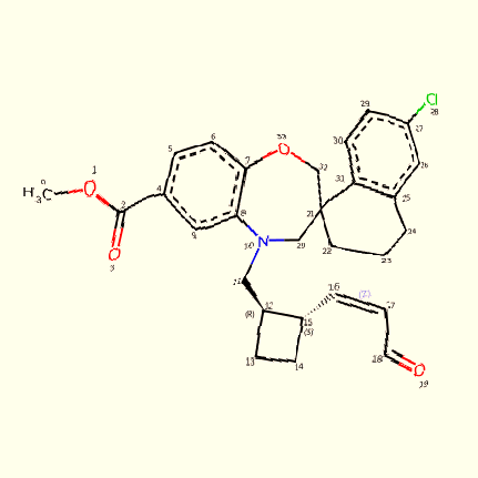 COC(=O)c1ccc2c(c1)N(C[C@@H]1CC[C@H]1/C=C\C=O)CC1(CCCc3cc(Cl)ccc31)CO2